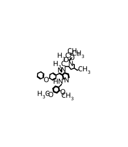 CCC1CC(C(C)n2nc(C3=CCC(OC4=CCCC=C4)C=C3)c3c(NCc4ccc(OC)cc4OC)nccc32)N(C(=O)OC(C)(C)C)C1